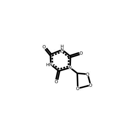 O=c1[nH]c(=O)n(C2OOO2)c(=O)[nH]1